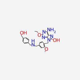 CCOc1nc(N)c2nc(O)n(Cc3ccc(CNCc4ccc(CO)cc4)cc3OC)c2n1